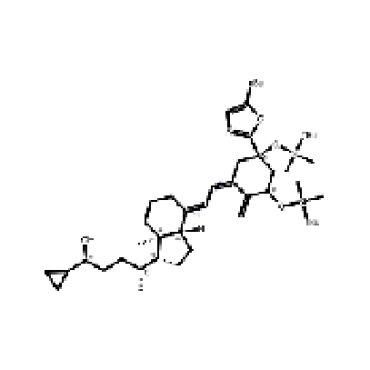 C=C1/C(=C\C=C2/CCC[C@]3(C)[C@@H]([C@H](C)CC[C@H](O)C4CC4)CC[C@@H]23)C[C@](O[Si](C)(C)C(C)(C)C)(c2ncc(CCCC)o2)C[C@H]1O[Si](C)(C)C(C)(C)C